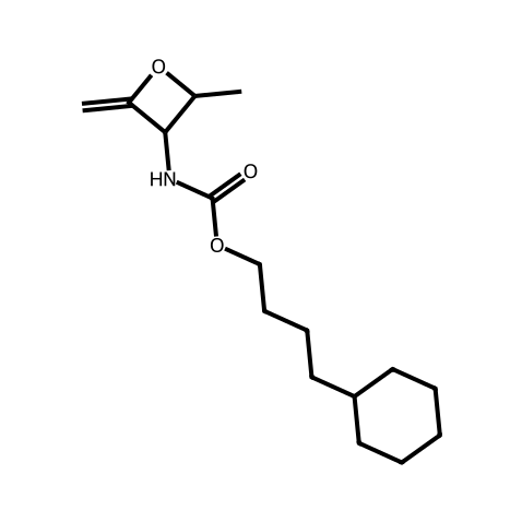 C=C1OC(C)C1NC(=O)OCCCCC1CCCCC1